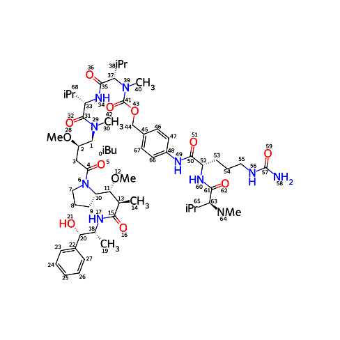 CC[C@H](C)[C@@H]([C@@H](CC(=O)N1CCC[C@H]1[C@H](OC)[C@@H](C)C(=O)N[C@H](C)[C@@H](O)c1ccccc1)OC)N(C)C(=O)[C@@H](NC(=O)[C@H](C(C)C)N(C)C(=O)OCc1ccc(NC(=O)[C@H](CCCNC(N)=O)NC(=O)[C@@H](NC)C(C)C)cc1)C(C)C